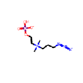 C[N+](C)(CCCN=[N+]=[N-])CCOP(=O)([O-])O